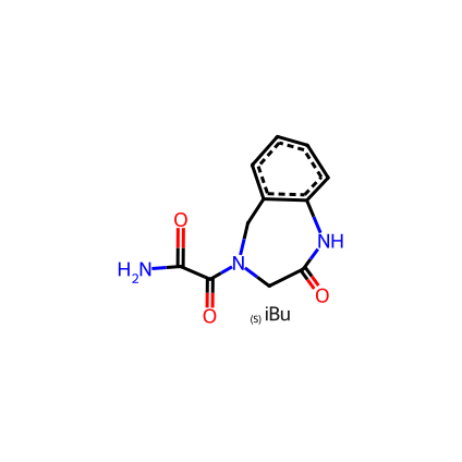 CC[C@H](C)C1C(=O)Nc2ccccc2CN1C(=O)C(N)=O